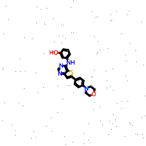 Oc1cccc(Nc2ncnc3cc(-c4ccc(N5CCOCC5)cc4)sc23)c1